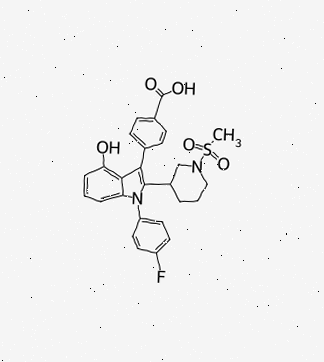 CS(=O)(=O)N1CCCC(c2c(-c3ccc(C(=O)O)cc3)c3c(O)cccc3n2-c2ccc(F)cc2)C1